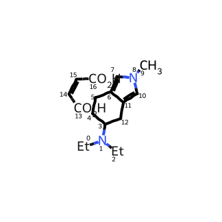 CCN(CC)C1CCc2cn(C)cc2C1.O=C(O)/C=C\C(=O)O